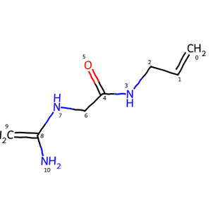 C=CCNC(=O)CNC(=C)N